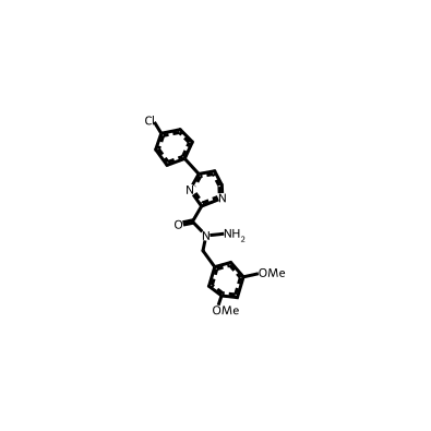 COc1cc(CN(N)C(=O)c2nccc(-c3ccc(Cl)cc3)n2)cc(OC)c1